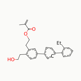 C=C(C)C(=O)OCCc1cc(-c2ccc(-c3ccccc3CC)cc2)ccc1CCO